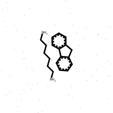 NCCCCCCN.c1ccc2c(c1)Cc1ccccc1-2